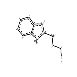 FCCNc1nc2cc[c]cc2[nH]1